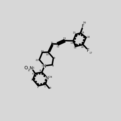 Cc1ccc([N+](=O)[O-])c(N2CCC(=CC#Cc3cc(F)cc(F)c3)CC2)n1